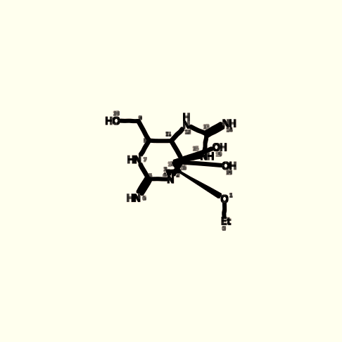 CCO[C@H]1CN2C(=N)NC(CO)C3NC(=N)NC32C1(O)O